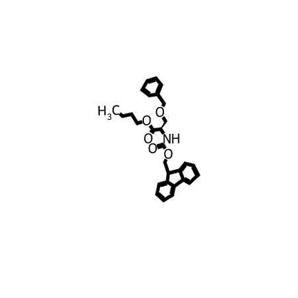 CCCCOC(=O)[C@@H](COCc1ccccc1)NC(=O)OCC1c2ccccc2-c2ccccc21